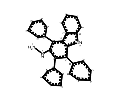 NNc1c(-c2ccccc2)c(-c2ccccc2)c2[nH]c3ccccc3c2c1-c1ccccc1